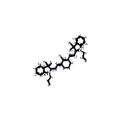 CCCN1/C(=C/C=C2\CCCC(/C=C/C3=[N+](CCC)c4ccccc4C3(C)C)=C2C)C(C)(C)c2ccccc21